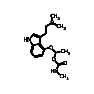 CNC(=O)OC(C)Oc1cccc2[nH]cc(CCN(C)C)c12